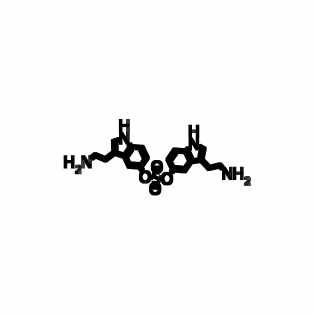 NCCc1c[nH]c2ccc(OS(=O)(=O)Oc3ccc4[nH]cc(CCN)c4c3)cc12